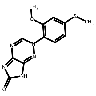 COc1cc(SC)ccc1-n1cnc2nc(=O)[nH]c-2n1